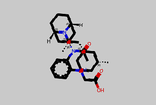 CC(=O)N(c1ccccc1NCC(=O)O)[C@H]1C[C@H]2CCC[C@@H](C1)N2[C@@H](C)C[C@H]1CCC[C@@H](C)C1